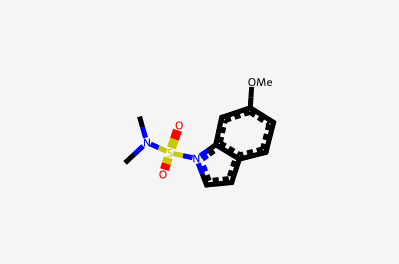 COc1ccc2ccn(S(=O)(=O)N(C)C)c2c1